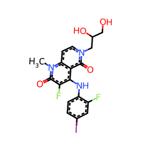 Cn1c(=O)c(F)c(Nc2ccc(I)cc2F)c2c(=O)n(CC(O)CO)ccc21